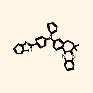 CC1(C)CCc2cc(N(c3ccccc3)c3ccc(-c4nc5ccccc5o4)cc3)ccc2-c2nc3ccccc3nc21